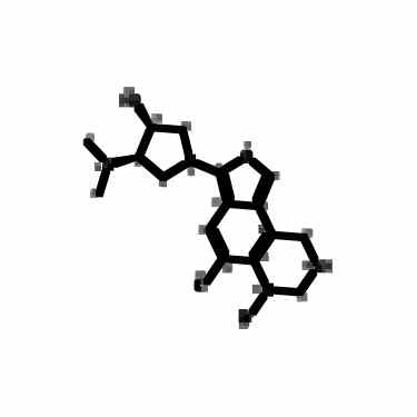 CN(C)[C@@H]1CN(c2occ3c4c(c(Cl)cc23)N(Br)CNC4)C[C@@H]1O